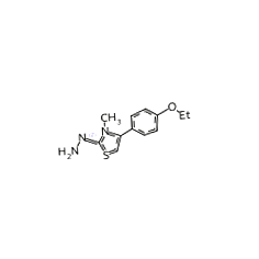 CCOc1ccc(-c2cs/c(=N\N)n2C)cc1